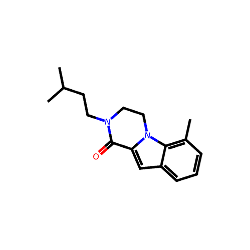 Cc1cccc2cc3n(c12)CCN(CCC(C)C)C3=O